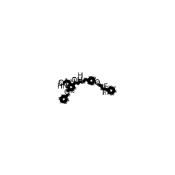 O=c1ccc2c([C@@H](O)CNCCc3ccc(OCCCC(F)(F)c4ccccc4)cc3)ccc(OCc3ccccc3)c2[nH]1